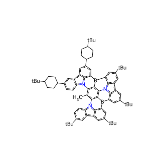 Cc1c2c3c4c5c1-n1c6ccc(C(C)(C)C)cc6c6cc(C(C)(C)C)cc(c61)B5c1cc(C(C)(C)C)cc5c6cc(C(C)(C)C)cc(c6n-4c15)B3c1cc(C3CCC(C(C)(C)C)CC3)cc3c4cc(C5CCC(C(C)(C)C)CC5)ccc4n-2c13